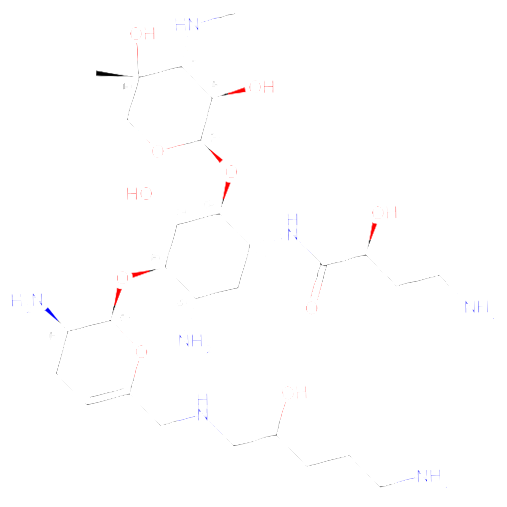 CN[C@@H]1[C@@H](O)[C@@H](O[C@@H]2[C@@H](O)[C@H](O[C@H]3OC(CNCC(O)CCCN)=CC[C@H]3N)[C@@H](N)C[C@H]2NC(=O)[C@@H](O)CCN)OC[C@]1(C)O